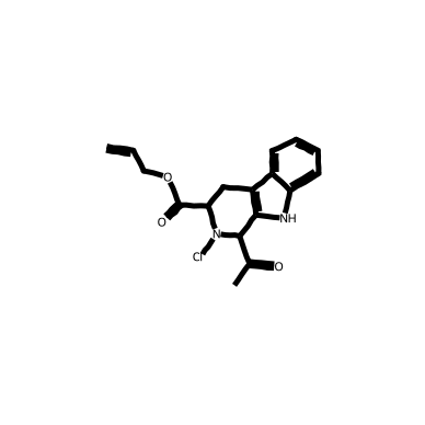 C=CCOC(=O)C1Cc2c([nH]c3ccccc23)C(C(C)=O)N1Cl